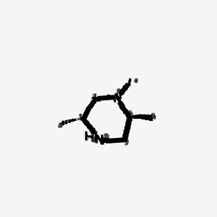 C[C@@H]1CN(I)[C@@H](C)CN1